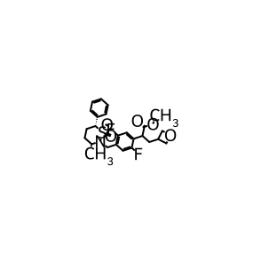 COC(=O)C(CC1COC1)c1cc(F)c(CN2[C@@H](C)CC[C@H](c3ccccc3)S2(=O)=O)cc1F